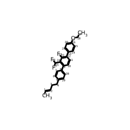 C/C=C/CCc1ccc(-c2ccc(-c3ccc(OCC)cc3)c(F)c2C(F)F)cc1